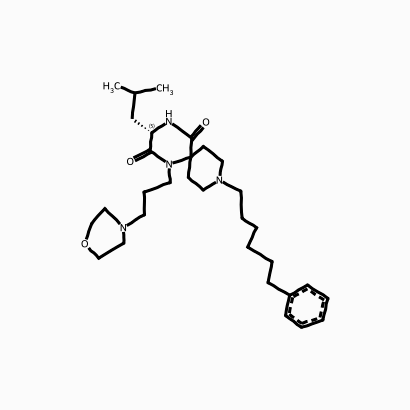 CC(C)C[C@@H]1NC(=O)C2(CCN(CCCCCCc3ccccc3)CC2)N(CCCN2CCOCC2)C1=O